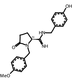 COc1ccc(CN2C(=O)CC[C@H]2C(=N)NCc2ccc(O)cc2)cc1